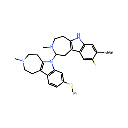 CSc1cc2[nH]c3c(c2cc1F)CC(n1c2c(c4ccc(SC(C)C)cc41)CCN(C)CC2)N(C)CC3